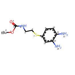 CC(C)(C)OC(=O)NCCSc1ccc(N)c(N)c1